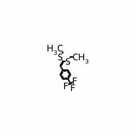 CCSC(=Cc1ccc(C(F)(F)F)cc1)SCC